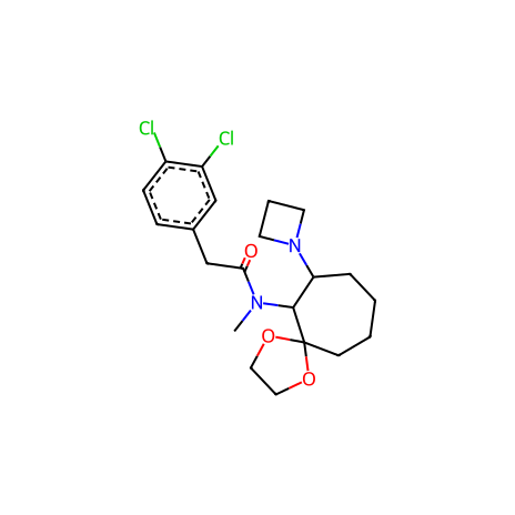 CN(C(=O)Cc1ccc(Cl)c(Cl)c1)C1C(N2CCC2)CCCCC12OCCO2